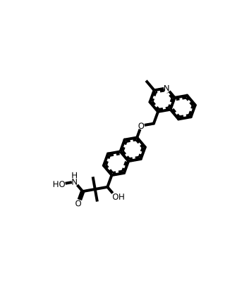 Cc1cc(COc2ccc3cc(C(O)C(C)(C)C(=O)NO)ccc3c2)c2ccccc2n1